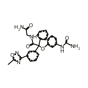 Cc1nc(-c2cccc(C(Oc3cccc(NC(N)=O)c3)(C(=O)NCC(N)=O)c3ccccc3)c2)no1